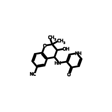 CC1(C)Oc2ccc(C#N)cc2C(Nc2c[nH]ccc2=O)C1O